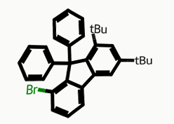 CC(C)(C)c1cc2c(c(C(C)(C)C)c1)C(c1ccccc1)(c1ccccc1)c1c(Br)cccc1-2